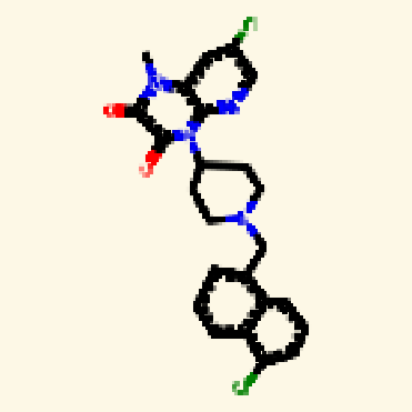 Cn1c(=O)c(=O)n(C2CCN(Cc3cccc4c(Cl)cccc34)CC2)c2ncc(Cl)cc21